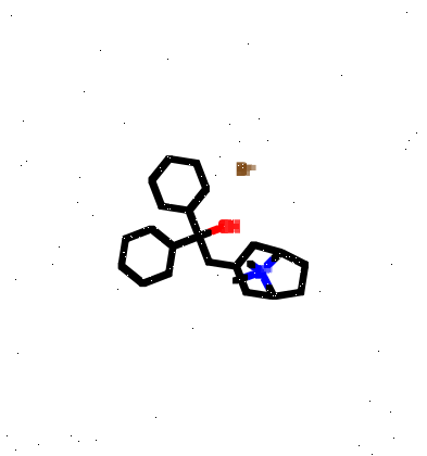 C[N+]1(C)C2CCC1CC(CC(O)(C1CCCCC1)C1CCCCC1)C2.[Br-]